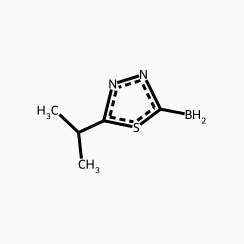 Bc1nnc(C(C)C)s1